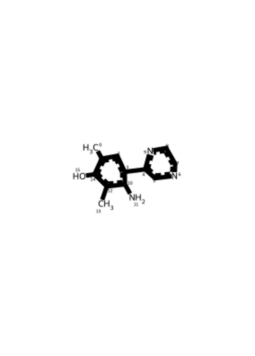 Cc1cc(-c2cnccn2)c(N)c(C)c1O